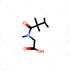 CC(C)C(C)(C)C(=O)N(C)CC(=O)O